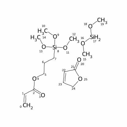 C=CC(=O)OCCC[Si](OC)(OC)OC.CO[SiH2]OC.O=C1C=CCO1